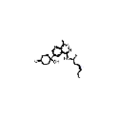 CC/C=C\CC(F)Nc1nnc(C)c2ncc(C3(O)CCC(=O)CC3)cc12